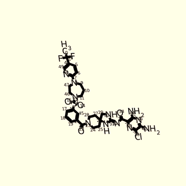 CC(F)(F)c1ccc(N2CCCN(S(=O)(=O)c3cccc(C(=O)N4CCC5(CC4)CN/C(=N\C(=O)c4nc(Cl)c(N)nc4N)N5)c3)CC2)nc1